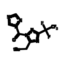 CC(C)(C)Cc1nc(C(F)(F)C(F)(F)F)nn1C(=O)n1cncn1